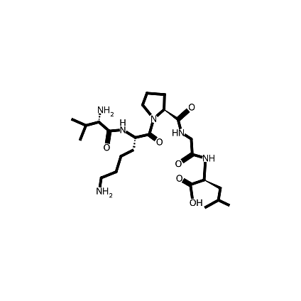 CC(C)C[C@H](NC(=O)CNC(=O)[C@@H]1CCCN1C(=O)[C@H](CCCCN)NC(=O)[C@@H](N)C(C)C)C(=O)O